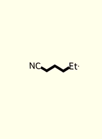 C[CH]CCCC#N